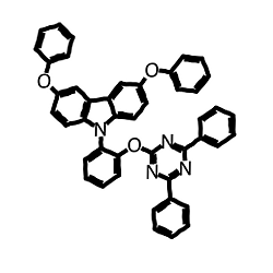 c1ccc(Oc2ccc3c(c2)c2cc(Oc4ccccc4)ccc2n3-c2ccccc2Oc2nc(-c3ccccc3)nc(-c3ccccc3)n2)cc1